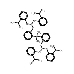 CC(C)c1ccccc1OP(Oc1ccccc1C(C)C)Oc1ccccc1[Si](C)(C)c1ccccc1OP(Oc1ccccc1C(C)C)Oc1ccccc1C(C)C